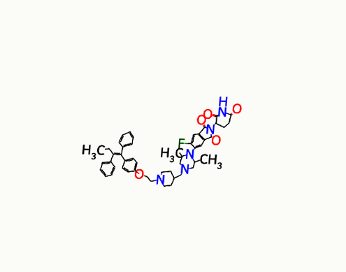 CCC(=C(c1ccccc1)c1ccc(OCCN2CCC(CN3CC(C)N(c4cc5c(cc4F)C(=O)N(C4CCC(=O)NC4=O)C5=O)C(C)C3)CC2)cc1)c1ccccc1